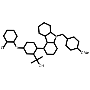 COC1CCC(CN2C3CCCCC3C3C(C4CCC(OC5CCCCC5Cl)CC4C(C)(C)O)CCCC32)CC1